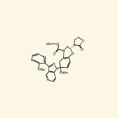 COc1nccnc1-c1nn(C2(OC)C=CC3=C(C2)N(C(=O)OC(C)(C)C)C[C@H](N2CCOC2=O)O3)c2ccncc12